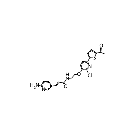 CC(=O)c1ccc(-c2ccc(OCCNC(=O)C=Cc3ccc(N)nc3)c(Cl)n2)s1